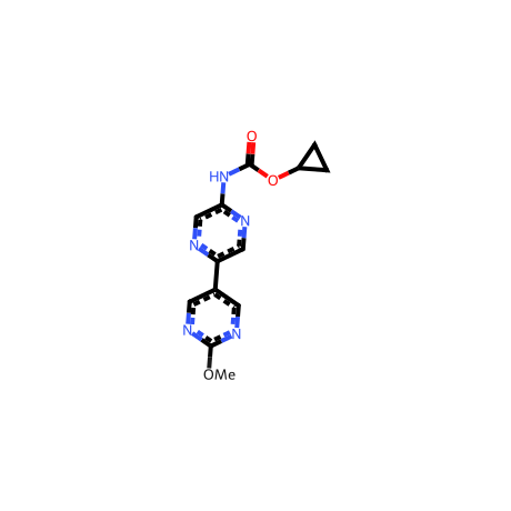 COc1ncc(-c2cnc(NC(=O)OC3CC3)cn2)cn1